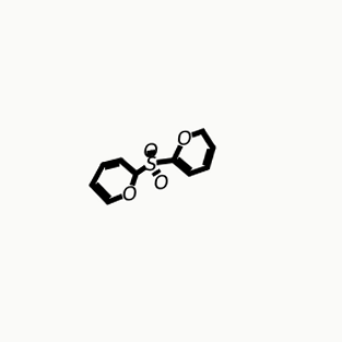 O=S(=O)(C1=CC=CCO1)C1C=CC=CO1